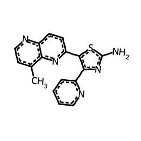 Cc1ccnc2ccc(-c3sc(N)nc3-c3ccccn3)nc12